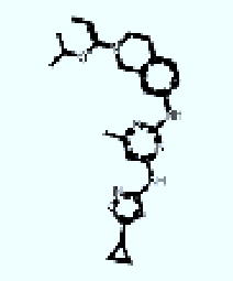 CC=C(OC(C)C)N1CCc2ccc(Nc3nc(C)cc(Nc4cc(C5CC5)n[nH]4)n3)cc2C1